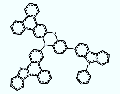 c1ccc(-n2c3ccccc3c3ccc(-c4ccc5c(c4)Oc4cc6c7ccccc7c7ccccc7c6cc4N5c4ccc5c(c4)c4ccccc4n4c6ccccc6nc54)cc32)cc1